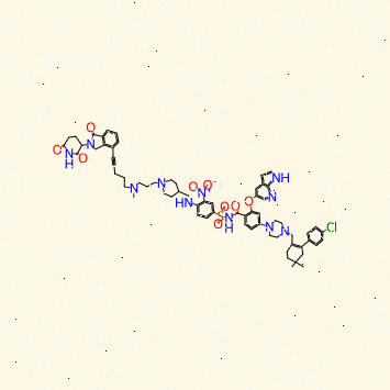 CN(CCCC#Cc1cccc2c1CN(C1CCC(=O)NC1=O)C2=O)CCCN1CCC(CNc2ccc(S(=O)(=O)NC(=O)c3ccc(N4CCN(CC5=C(c6ccc(Cl)cc6)CC(C)(C)CC5)CC4)cc3Oc3cnc4[nH]ccc4c3)cc2[N+](=O)[O-])CC1